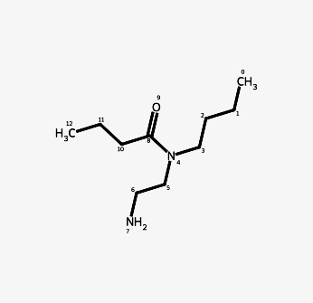 CCCCN(CCN)C(=O)CCC